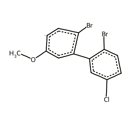 COc1[c]cc(Br)c(-c2cc(Cl)ccc2Br)c1